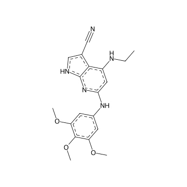 CCNc1cc(Nc2cc(OC)c(OC)c(OC)c2)nc2[nH]cc(C#N)c12